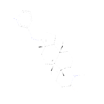 CN1C(=O)C=C[C@@]2(C)C1CC[C@@H]1[C@H]2CC[C@]2(C)C(Nc3cccnc3)CC[C@@H]12